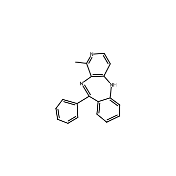 Cc1nccc2c1N=C(c1ccccc1)c1ccccc1N2